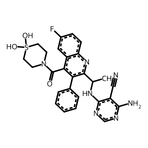 CC(Nc1ncnc(N)c1C#N)c1nc2ccc(F)cc2c(C(=O)N2CCS(O)(O)CC2)c1-c1ccccc1